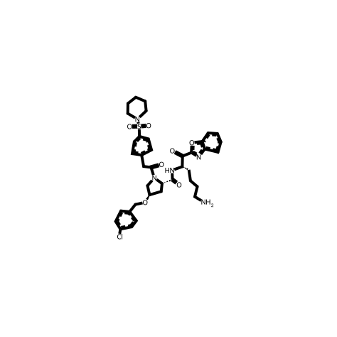 NCCCC[C@H](NC(=O)[C@@H]1C[C@@H](OCc2ccc(Cl)cc2)CN1C(=O)Cc1ccc(S(=O)(=O)N2CCCCC2)cc1)C(=O)c1nc2ccccc2o1